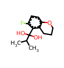 CC(C)C(O)(O)c1c(F)ccc2c1CCCO2